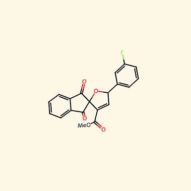 COC(=O)C1=CC(c2cccc(F)c2)OC12C(=O)c1ccccc1C2=O